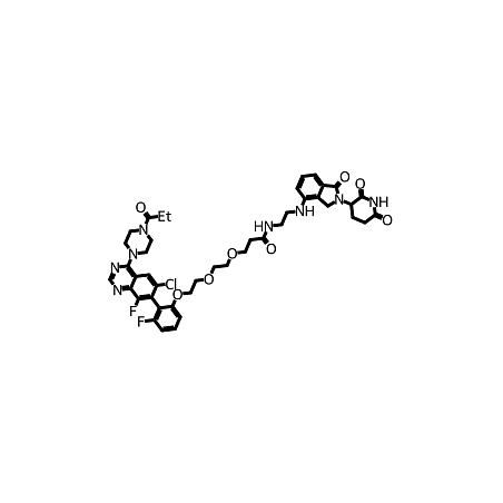 CCC(=O)N1CCN(c2ncnc3c(F)c(-c4c(F)cccc4OCCOCCOCCC(=O)NCCNc4cccc5c4CN(C4CCC(=O)NC4=O)C5=O)c(Cl)cc23)CC1